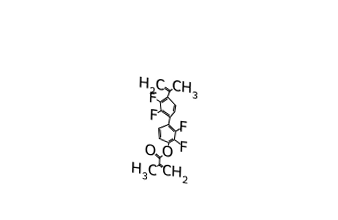 C=C(C)C(=O)Oc1ccc(-c2ccc(C(=C)C)c(F)c2F)c(F)c1F